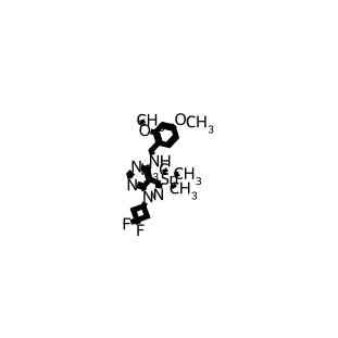 COc1ccc(CNc2ncnc3c2[c]([Sn]([CH3])([CH3])[CH3])nn3C2CC(F)(F)C2)c(OC)c1